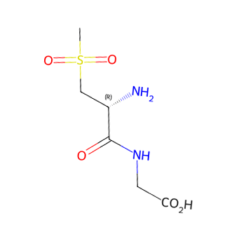 CS(=O)(=O)C[C@H](N)C(=O)NCC(=O)O